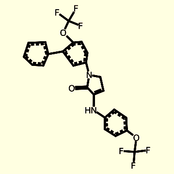 O=C1C(Nc2ccc(OC(F)(F)F)cc2)=CCN1c1ccc(OC(F)(F)F)c(-c2ccccc2)c1